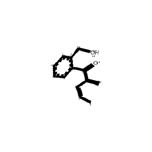 C=C(/C=C\C)C(=O)c1ccccc1CO